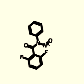 O=[N+]N(C(=O)c1c(F)cccc1F)c1ccccc1